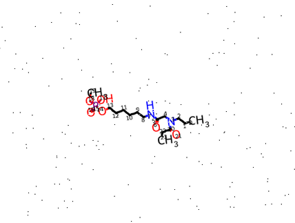 CCCN(CC(=O)NCCCCCCOP(=O)(O)OC)C(=O)CC